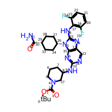 CC(C)(C)OC(=O)N1CCCC(Nc2ncc3nc(Nc4c(F)cccc4F)n([C@H]4CC[C@@H](C(N)=O)CC4)c3n2)C1